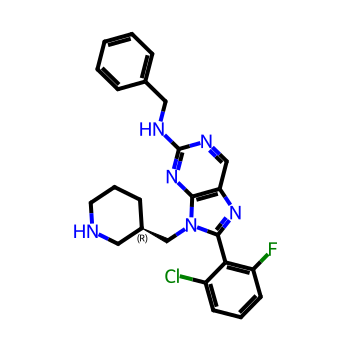 Fc1cccc(Cl)c1-c1nc2cnc(NCc3ccccc3)nc2n1C[C@@H]1CCCNC1